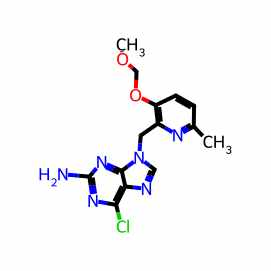 COCOc1ccc(C)nc1Cn1cnc2c(Cl)nc(N)nc21